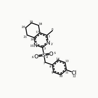 Cc1nc(S(=O)(=O)Cc2ccc(Cl)cc2)nc2c1CCCC2